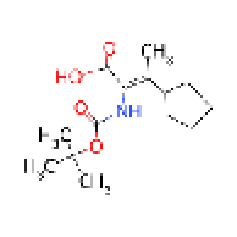 CC(=C(NC(=O)OC(C)(C)C)C(=O)O)C1CCCC1